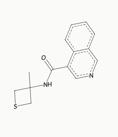 CC1(NC(=O)c2cncc3ccccc23)CSC1